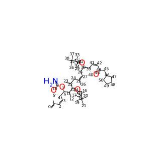 C=C/C=C\[C@H](C)C(OC(N)=O)C(C)C(O[Si](C)(C)C(C)(C)C)C(C)C/C(C)=C\[C@H](C)[C@@H](O[Si](C)(C)C(C)(C)C)[C@@H](C)/C=C\C(=O)CC1CCCC1